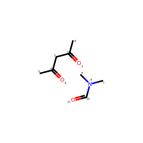 CC(=O)CC(C)=O.CN(C)C=O